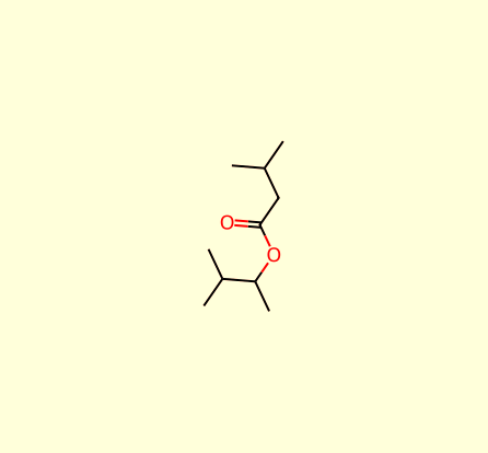 CC(C)CC(=O)OC(C)C(C)C